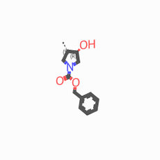 C[C@H]1CN(C(=O)OCc2ccccc2)C[C@@H]1O